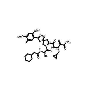 COc1cc(OC)c(C2=NO[C@]3(C2)C[C@@H](C(=O)N[C@@H](CC2CC2)C(=O)C(N)=O)N(C(=O)[C@@H](NC(=O)CC2CCCCC2)C(C)(C)C)C3)cc1C